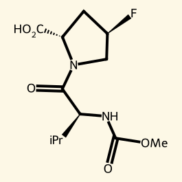 COC(=O)N[C@H](C(=O)N1C[C@H](F)C[C@H]1C(=O)O)C(C)C